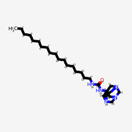 CCCCCCCCCCCCCCCCCCNC(=O)NC12CN3CN(CN(C3)C1)C2